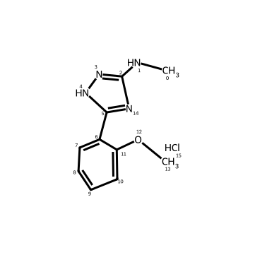 CNc1n[nH]c(-c2ccccc2OC)n1.Cl